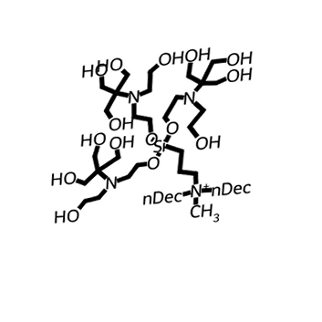 CCCCCCCCCC[N+](C)(CCCCCCCCCC)CCC[Si](OCCN(CCO)C(CO)(CO)CO)(OCCN(CCO)C(CO)(CO)CO)OCCN(CCO)C(CO)(CO)CO